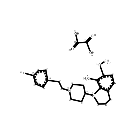 COc1ccc2c(c1C)N(C1CCN(CCc3ccc(F)cc3)CC1)CCC2.O=C(O)C(=O)O